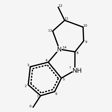 Cc1ccc2c(c1)NC1CCC(C)CN21